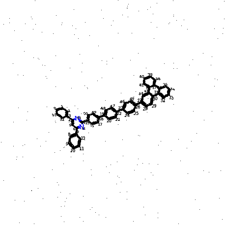 c1ccc(-c2cc(-c3ccccc3)nc(-c3ccc(-c4ccc(-c5ccc(-c6ccc7c8ccccc8c8ccccc8c7c6)cc5)cc4)cc3)n2)cc1